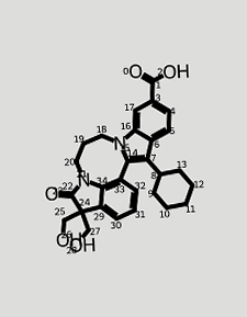 O=C(O)c1ccc2c(C3CCCCC3)c3n(c2c1)CCCN1C(=O)C(CO)(CO)c2cccc-3c21